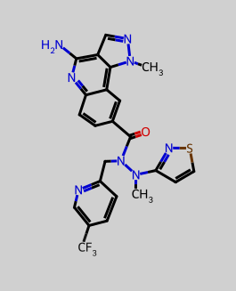 CN(c1ccsn1)N(Cc1ccc(C(F)(F)F)cn1)C(=O)c1ccc2nc(N)c3cnn(C)c3c2c1